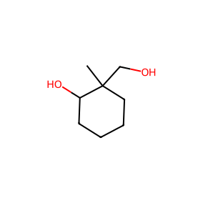 CC1(CO)CCCCC1O